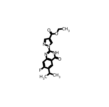 CCOC(=O)c1cnn(-c2nc3cc(F)c(C(C)C)cc3c(=O)[nH]2)c1